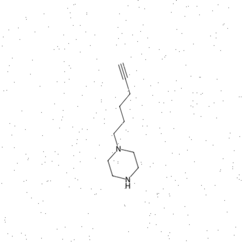 C#CCCCCN1CCNCC1